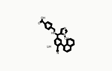 Cn1cncc1C(NCc1ccc(C(=O)O)cc1)c1ccc(C#N)c(-c2cccc3ccccc23)c1.[LiH]